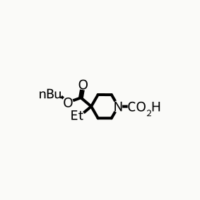 CCCCOC(=O)C1(CC)CCN(C(=O)O)CC1